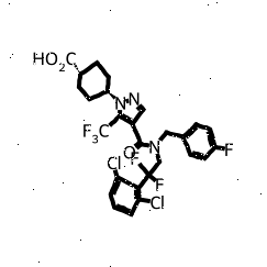 O=C(c1cnn([C@H]2CC[C@H](C(=O)O)CC2)c1C(F)(F)F)N(Cc1ccc(F)cc1)CC(F)(F)c1c(Cl)cccc1Cl